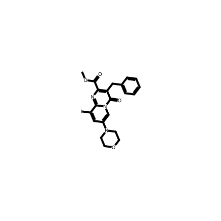 COC(=O)c1nc2c(I)cc(N3CCOCC3)cn2c(=O)c1Cc1ccccc1